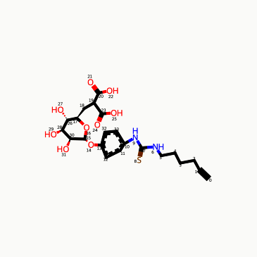 C#CCCCCNC(=S)Nc1ccc(O[C@H]2O[C@H](CC(C(=O)O)C(=O)O)[C@@H](O)[C@H](O)[C@@H]2O)cc1